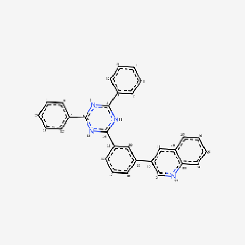 c1ccc(-c2nc(-c3ccccc3)nc(-c3cccc(-c4cnc5ccccc5c4)c3)n2)cc1